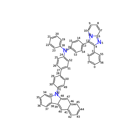 c1ccc(-c2nc3ccccn3c2-c2ccc(N(c3ccccc3)c3ccc(-c4ccc(-n5c6ccccc6c6cc7ccccc7cc65)cc4)cc3)cc2)cc1